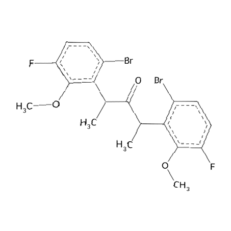 COc1c(F)ccc(Br)c1C(C)C(=O)C(C)c1c(Br)ccc(F)c1OC